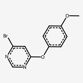 COc1ccc(Oc2cc(Br)ncn2)cc1